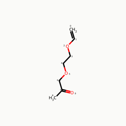 C=COCCO[CH]C(C)=O